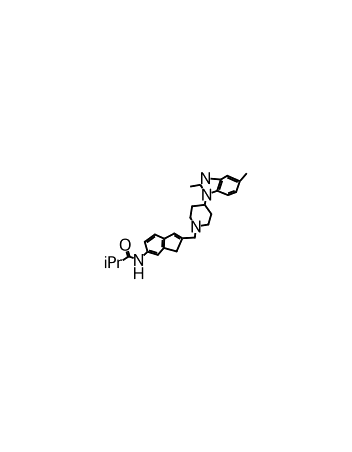 Cc1ccc2c(c1)nc(C)n2C1CCN(CC2=Cc3ccc(NC(=O)C(C)C)cc3C2)CC1